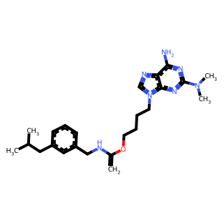 C=C(NCc1cccc(CC(C)C)c1)OCCCCn1cnc2c(N)nc(N(C)C)nc21